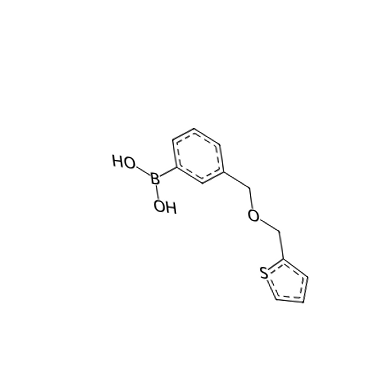 OB(O)c1cccc(COCc2cccs2)c1